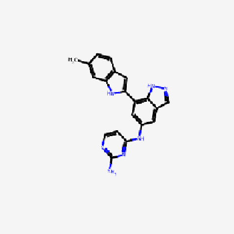 Cc1ccc2cc(-c3cc(Nc4ccnc(N)n4)cc4cn[nH]c34)[nH]c2c1